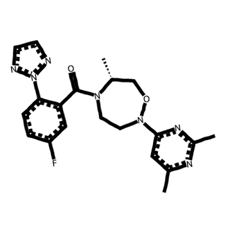 Cc1cc(N2CCN(C(=O)c3cc(F)ccc3-n3nccn3)[C@H](C)CO2)nc(C)n1